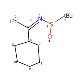 CC(C)/C(=N/[S+]([O-])C(C)(C)C)C1CCCCC1